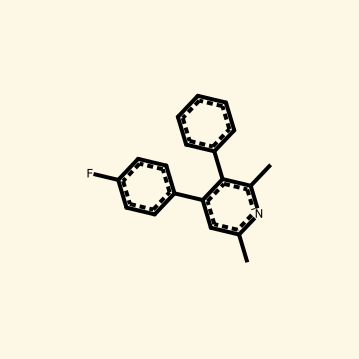 Cc1cc(-c2ccc(F)cc2)c(-c2ccccc2)c(C)n1